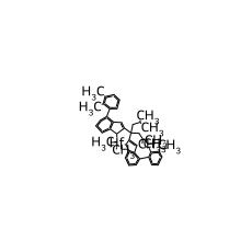 Cc1cccc(-c2cccc3c2C=C2[CH]3[Hf]([CH3])([CH3])[CH]3C(=Cc4c(-c5cccc(C)c5C)cccc43)C2(CC(C)C)CC(C)C)c1C